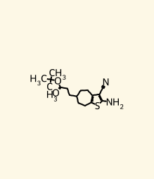 CC(C)(C)OC(=O)CCC1CCc2sc(N)c(C#N)c2CC1